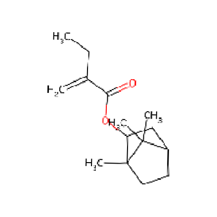 C=C(CC)C(=O)OC1CC2CCC1(C)C2(C)C